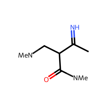 CNCC(C(C)=N)C(=O)NC